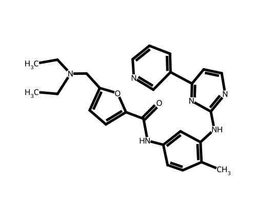 CCN(CC)Cc1ccc(C(=O)Nc2ccc(C)c(Nc3nccc(-c4cccnc4)n3)c2)o1